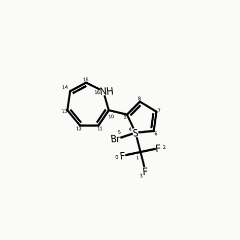 FC(F)(F)S1(Br)C=CC=C1C1=CC=CC=CN1